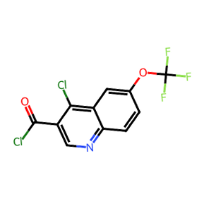 O=C(Cl)c1cnc2ccc(OC(F)(F)F)cc2c1Cl